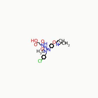 C=C/C=N\C(=C/C)Oc1ccc(/N=C(\NC(=O)N(C=O)CCC(=O)O)N(C)Cc2ccc(Cl)cc2)cc1